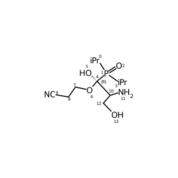 CC(C)P(=O)(C(C)C)[C@](O)(OCCC#N)C(N)CO